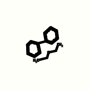 CCOCC.c1ccc(-c2ccccc2)cc1